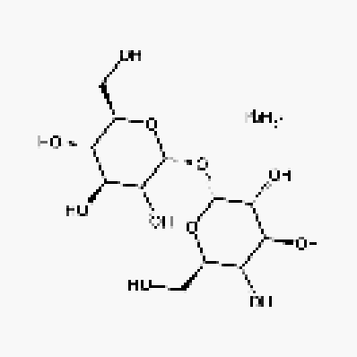 OC[C@H]1O[C@H](O[C@H]2O[C@H](CO)[C@@H](O)[C@H](O)[C@H]2O)[C@H](O)[C@@H](O)[C@@H]1O.[PbH2]